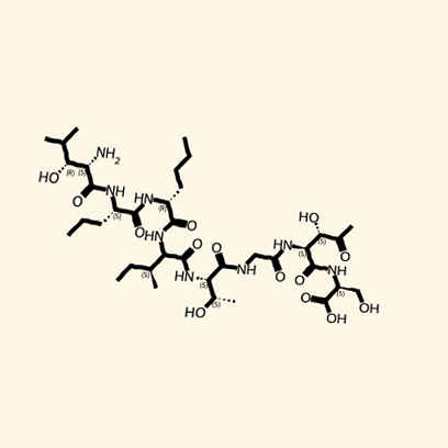 CCCC[C@@H](NC(=O)[C@H](CCC)NC(=O)[C@@H](N)[C@H](O)C(C)C)C(=O)NC(C(=O)N[C@H](C(=O)NCC(=O)N[C@H](C(=O)N[C@@H](CO)C(=O)O)[C@H](O)C(C)=O)[C@H](C)O)[C@@H](C)CC